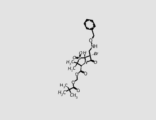 CC(C)(C)C(=O)OCOC(=O)[C@@H]1N2C(=O)[C@](Br)(CNOCc3ccccc3)[C@H]2S(=O)(=O)C1(C)C